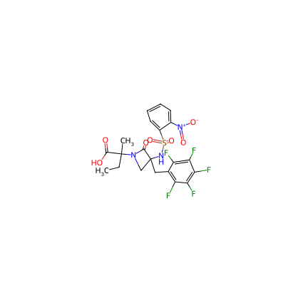 CCC(C)(C(=O)O)N1CC(Cc2c(F)c(F)c(F)c(F)c2F)(NS(=O)(=O)c2ccccc2[N+](=O)[O-])C1=O